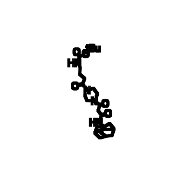 CC(C)(C)OC(=O)NCCCC(=O)N1CCN(C(=O)CC(=O)NC23CC4CC(CC(C4)C2)C3)CC1